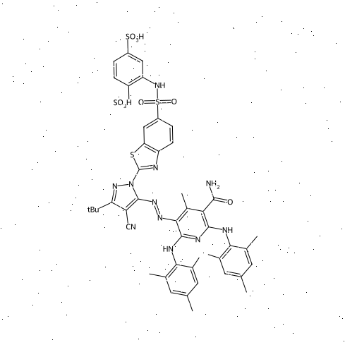 Cc1cc(C)c(Nc2nc(Nc3c(C)cc(C)cc3C)c(C(N)=O)c(C)c2N=Nc2c(C#N)c(C(C)(C)C)nn2-c2nc3ccc(S(=O)(=O)Nc4cc(S(=O)(=O)O)ccc4S(=O)(=O)O)cc3s2)c(C)c1